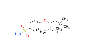 CC(C)=C(CC(C)(C)C)Oc1ccc(S(N)(=O)=O)cc1